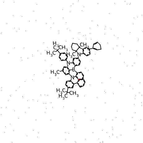 Cc1cc2c3c(c1)N(c1ccc(C(C)(C)C)cc1-c1ccccc1)c1ccccc1B3c1ccc(N3c4ccc(C5=CCCC=C5)cc4C4(C)CCCCC34C)cc1N2c1ccc(C(C)(C)C)cc1